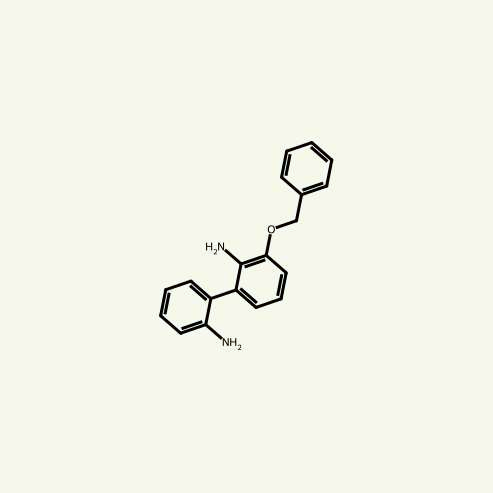 Nc1ccccc1-c1cccc(OCc2ccccc2)c1N